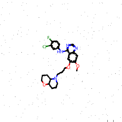 COc1cc2ncnc(Nc3ccc(F)c(Cl)c3)c2cc1OCCCN1CCCC2OCCCC21